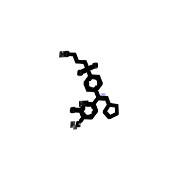 O=c1[nH]c(/C(=C\C2CCCC2)c2ccc(S(=O)(=O)CCCO)cc2)ccc1C(F)(F)F